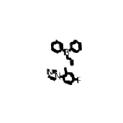 C=CCB(c1ccccc1)c1ccccc1.Cc1cc(F)ccc1-n1ccnc1